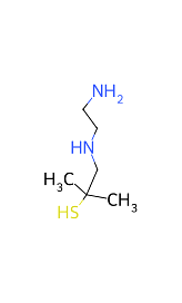 CC(C)(S)CNCCN